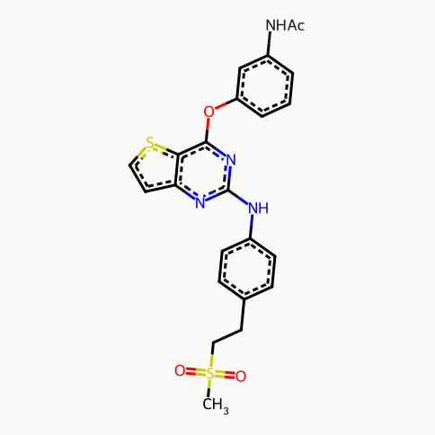 CC(=O)Nc1cccc(Oc2nc(Nc3ccc(CCS(C)(=O)=O)cc3)nc3ccsc23)c1